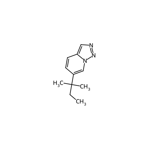 CCC(C)(C)c1ccc2cnnn2c1